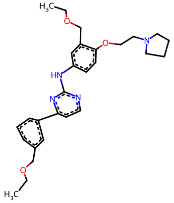 CCOCc1cccc(-c2ccnc(Nc3ccc(OCCN4CCCC4)c(COCC)c3)n2)c1